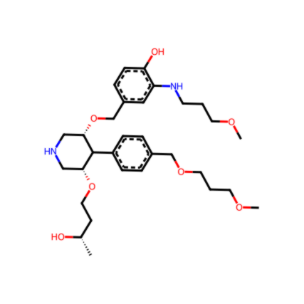 COCCCNc1cc(CO[C@H]2CNC[C@@H](OCC[C@H](C)O)C2c2ccc(COCCCOC)cc2)ccc1O